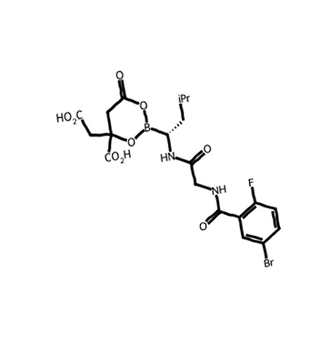 CC(C)C[C@H](NC(=O)CNC(=O)c1cc(Br)ccc1F)B1OC(=O)CC(CC(=O)O)(C(=O)O)O1